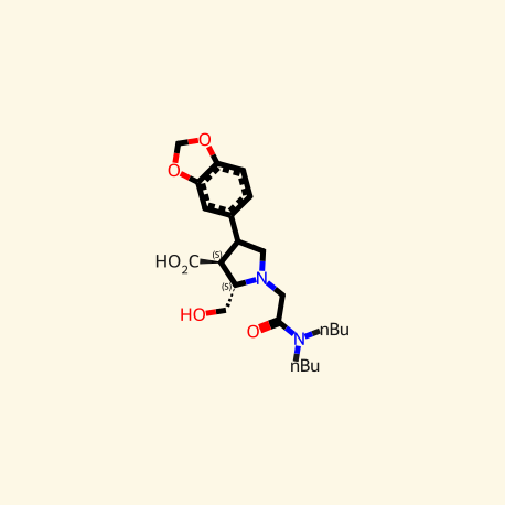 CCCCN(CCCC)C(=O)CN1CC(c2ccc3c(c2)OCO3)[C@H](C(=O)O)[C@H]1CO